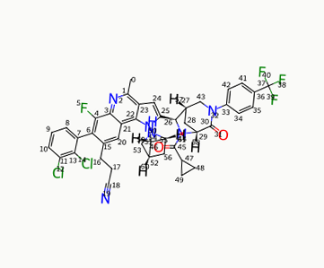 Cc1nc2c(F)c(-c3cccc(Cl)c3Cl)c(CCC#N)cc2c2c1cc([C@H]1[C@H]3C[C@H](C(=O)N(c4ccc(C(F)(F)F)cc4)C3)N1C(=O)C1CC1)n2[C@H]1[C@H]2CN[C@@H]1C2